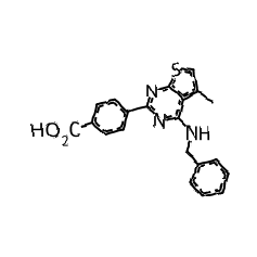 Cc1csc2nc(-c3ccc(C(=O)O)cc3)nc(NCc3ccccc3)c12